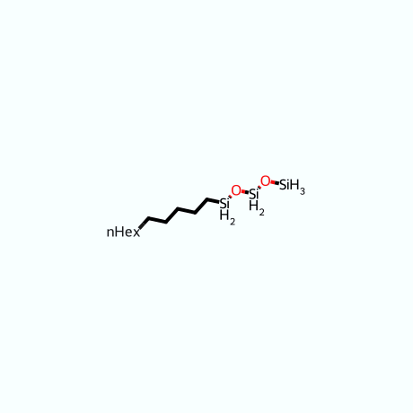 CCCCCCCCCCC[SiH2]O[SiH2]O[SiH3]